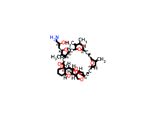 C=C1C[C@@H]2CC[C@@]34C[C@H]5O[C@H]6[C@@H](O3)[C@H]3OC(CC[C@@H]3O[C@H]6[C@H]5CO4)CC(=O)C[C@@H]3[C@@H](C)[C@@H](C[C@H](O)CN)O[C@H]3CC3O[C@@H](CCC1O2)C[C@@H](C)C3=C